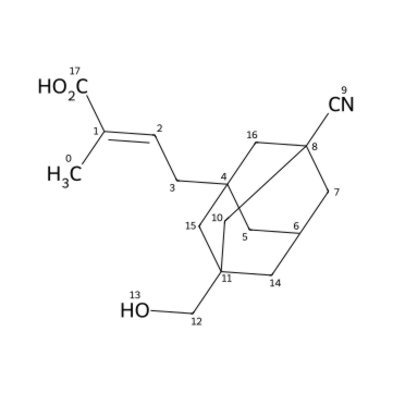 CC(=CCC12CC3CC(C#N)(CC(CO)(C3)C1)C2)C(=O)O